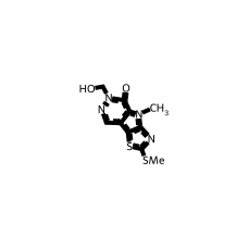 CSc1nc2c(s1)c1cnn(CO)c(=O)c1n2C